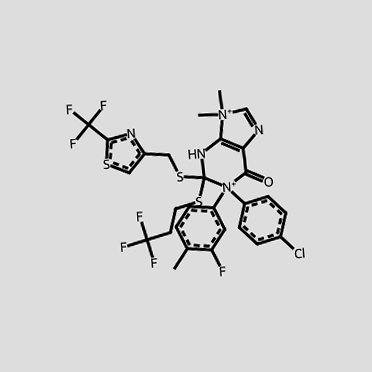 Cc1ccc([N+]2(c3ccc(Cl)cc3)C(=O)C3=C(NC2(SCCC(F)(F)F)SCc2csc(C(F)(F)F)n2)[N+](C)(C)C=N3)cc1F